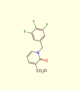 CCOC(=O)c1cccn(Cc2cc(F)c(F)c(F)c2)c1=O